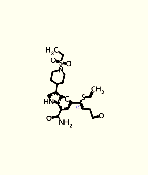 C=CS/C(=C\CC=O)c1cc(C(N)=O)c2[nH]cc(C3CCN(S(=O)(=O)CC)CC3)c2c1